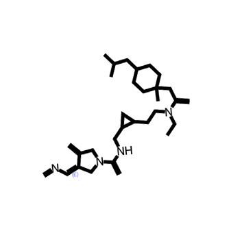 C=N/C=C1/CN(C(=C)NCC2CC2CCN(CC)C(=C)CC2(C)CCC(CC(C)C)CC2)CC1=C